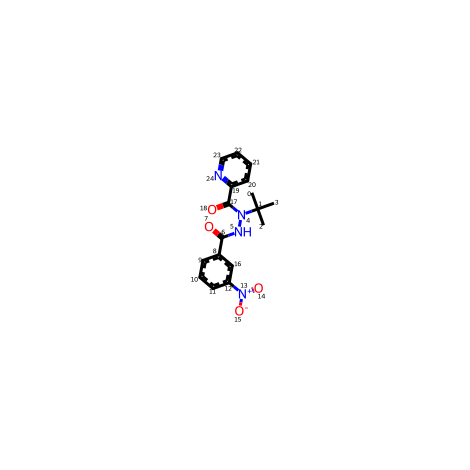 CC(C)(C)N(NC(=O)c1cccc([N+](=O)[O-])c1)C(=O)c1ccccn1